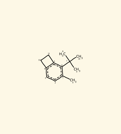 Cc1ccc2c(c1C(C)(C)C)CC2